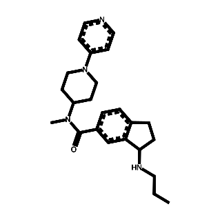 CCCNC1CCc2ccc(C(=O)N(C)C3CCN(c4ccncc4)CC3)cc21